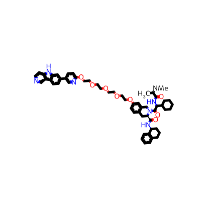 CNC(C)C(=O)NC(C(=O)N1Cc2cc(OCCOCCOCCOCCOc3ccc(-c4ccc5c(c4)[nH]c4ccncc45)cn3)ccc2C[C@@H]1C(=O)N[C@H]1CCCc2ccccc21)C1CCCCC1